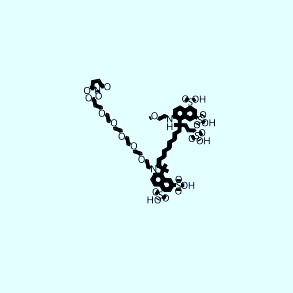 COCCNc1ccc2c(S(=O)O)cc(S(=O)(=O)O)cc2c1C(C)(C/C=C/C=C/C=C/C=C1/N(CCOCCOCCOCCOCCOCCC(=O)ON2C(=O)CCC2=O)c2ccc3c(S(=O)(=O)O)cc(S(=O)(=O)O)cc3c2C1(C)C)CCCS(=O)(=O)O